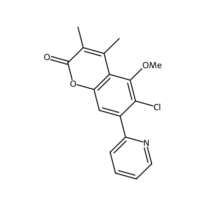 COc1c(Cl)c(-c2ccccn2)cc2oc(=O)c(C)c(C)c12